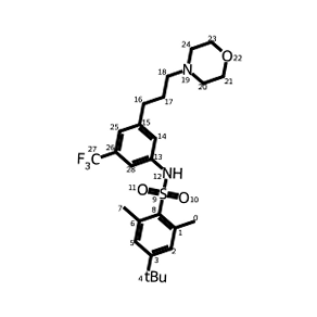 Cc1cc(C(C)(C)C)cc(C)c1S(=O)(=O)Nc1cc(CCCN2CCOCC2)cc(C(F)(F)F)c1